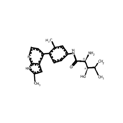 Cc1cc2c(-c3ccc(NC(=O)[C@@H](N)[C@H](O)C(C)C)cc3C)ccnc2[nH]1